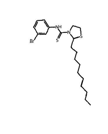 CCCCCCCCCCC1SCCN1C(=S)Nc1cccc(Br)c1